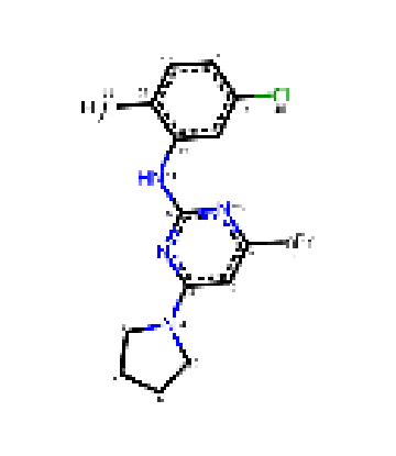 CCCc1cc(N2[CH]CCC2)nc(Nc2cc(Cl)ccc2C)n1